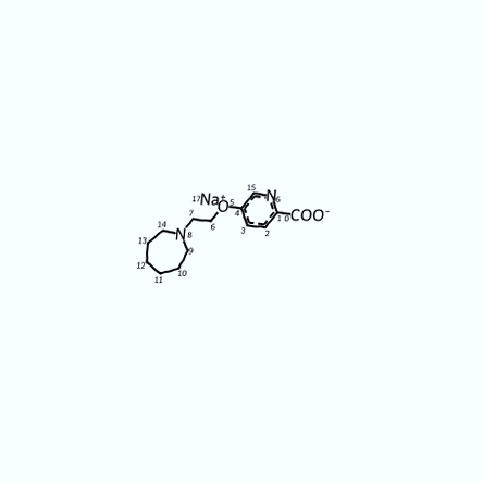 O=C([O-])c1ccc(OCCN2CCCCCC2)cn1.[Na+]